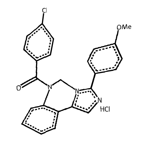 COc1ccc(-c2ncc3n2CN(C(=O)c2ccc(Cl)cc2)c2ccccc2-3)cc1.Cl